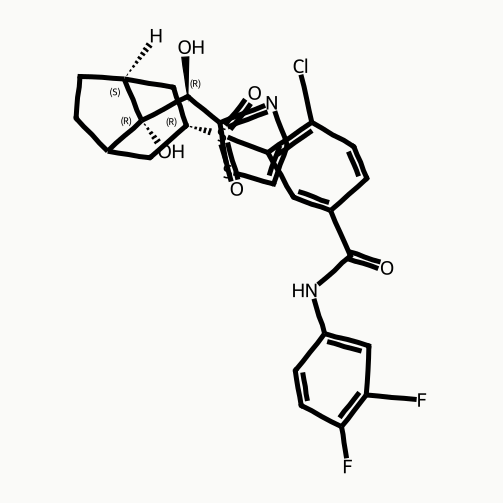 O=C(Nc1ccc(F)c(F)c1)c1ccc(Cl)c(S(=O)(=O)[C@@H]2CC3CC[C@@H](C2)[C@@]3(O)[C@@H](O)c2nccs2)c1